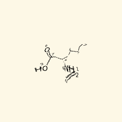 C=C.CCC[C@H](N)C(=O)O